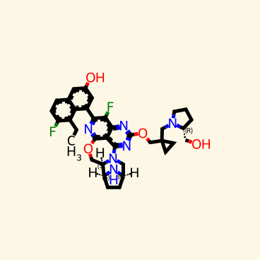 CCc1c(F)ccc2cc(O)cc(-c3nc4c5c(nc(OCC6(CN7CCC[C@@H]7CO)CC6)nc5c3F)N3C[C@H]5CC[C@H](N5)[C@H]3CO4)c12